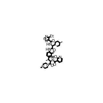 CCc1nonc1C(=O)N[C@H](C(=O)Nc1ccc([C@H](C)[C@@H](NC(=O)c2cccnc2OC)C(=O)N2CCN(C)CC2)cc1F)[C@H]1CC[C@H](C)CC1